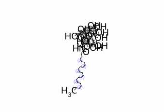 CC/C=C\C/C=C\C/C=C\C/C=C\C/C=C\C/C=C\CCC(=O)NCCO[C@@H]1O[C@H](CO)[C@@H](O)[C@H](O[C@@H]2O[C@H](CO)[C@@H](O)[C@H](O)[C@H]2O)[C@H]1O[C@@H]1C[C@H](CO)[C@@H](O)[C@H](O)[C@H]1O